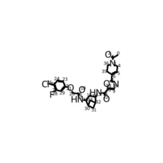 CC(=O)N1CC=C(c2ncc(C(=O)NC3CC(NC(=O)COc4ccc(Cl)c(F)c4)C4CC3C4)o2)CC1